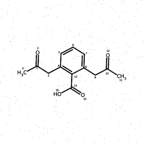 CC(=O)Cc1cccc(CC(C)=O)c1C(=O)O